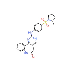 CC1CCCN1S(=O)(=O)c1ccc(Nc2ncc3c(n2)-c2ccccc2NC(=O)C3)cc1